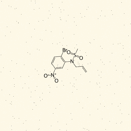 C=CCN(c1cc([N+](=O)[O-])ccc1Br)S(C)(=O)=O